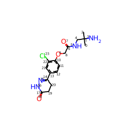 CC(C)(N)CNC(=O)COc1ccc(C2=NNC(=O)CC2)cc1Cl